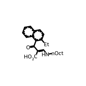 CCCCCCCCNC=C(C(=O)O)C(=O)c1c(CC)ccc2ccccc12